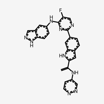 C=C(Nc1ccnnc1)c1cc2ccc(-c3ncc(F)c(Nc4ccc5[nH]ncc5c4)n3)cc2[nH]1